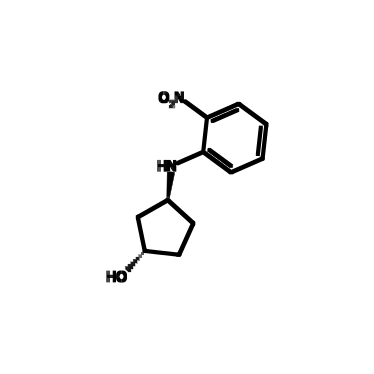 O=[N+]([O-])c1ccccc1N[C@H]1CC[C@H](O)C1